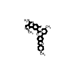 C[C@H]1CCC(c2ccc3c(c2)OC2(CCN(C)CC2)C3)N(C(=O)c2cc3c(cc2F)nc(N)c2cnn(C)c23)C1